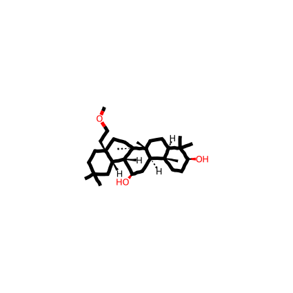 COCC[C@]12CCC(C)(C)C[C@H]1[C@H]1[C@H](O)C[C@@H]3[C@@]4(C)CC[C@H](O)C(C)(C)[C@@H]4CC[C@@]3(C)[C@]1(C)CC2